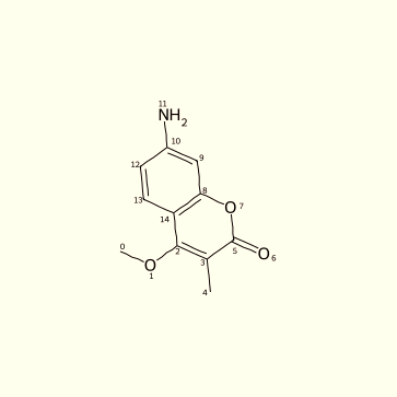 COc1c(C)c(=O)oc2cc(N)ccc12